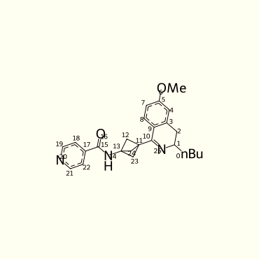 CCCCC1Cc2cc(OC)ccc2C(C23CC(NC(=O)c4ccncc4)(C2)C3)=N1